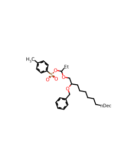 CCCCCCCCCCCCCCCCC(COC(CC)OS(=O)(=O)c1ccc(C)cc1)OCc1ccccc1